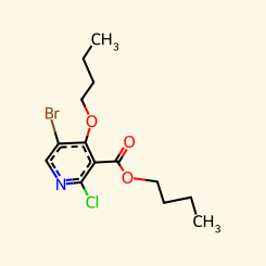 CCCCOC(=O)c1c(Cl)ncc(Br)c1OCCCC